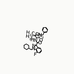 CC(C)(C)C(NC(=O)c1nn(CC2CCCCC2)c2c(F)cccc12)C(=O)NCc1ccccc1